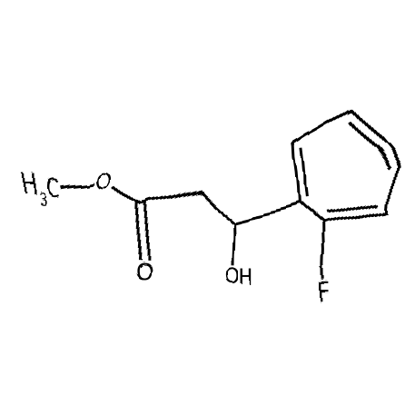 COC(=O)CC(O)c1ccccc1F